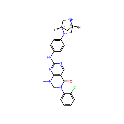 CN1CN(c2ccccc2Cl)C(=O)c2cnc(Nc3ccc(N4C[C@@H]5C[C@H]4CN5)cc3)nc21